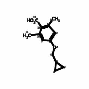 Cc1cc(OCC2CC2)cc(C)c1C(=O)O